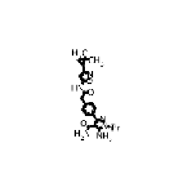 CC(C)n1nc(-c2ccc(CC(=O)Nc3cc(C4CC4(C)C)no3)cc2)c(C(N)=O)c1N